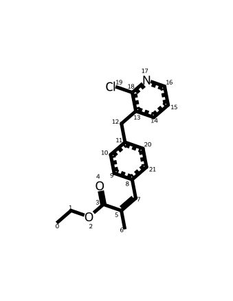 CCOC(=O)C(C)=Cc1ccc(Cc2cccnc2Cl)cc1